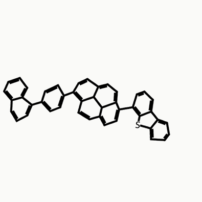 C1=CC2=C(c3ccc(-c4cccc5ccccc45)cc3)C=CC3=CC=C4C(c5cccc6c5sc5ccccc56)=CC=C1C4C32